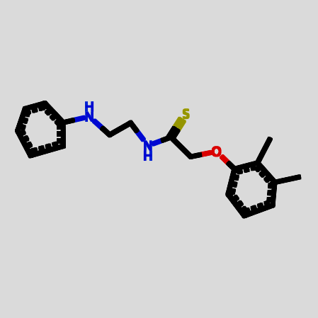 Cc1cccc(OCC(=S)NCCNc2ccccc2)c1C